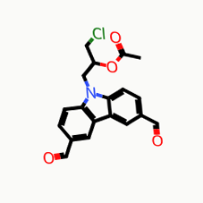 CC(=O)OC(CCl)Cn1c2ccc(C=O)cc2c2cc(C=O)ccc21